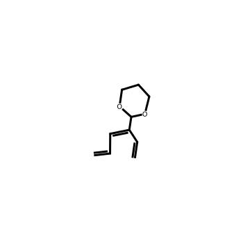 C=C/C=C(\C=C)C1OCCCO1